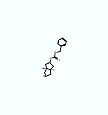 O=C(NC1C[C@H]2CNC[C@H]2C1)OCc1ccccc1